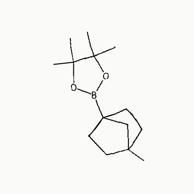 CC12CCC(B3OC(C)(C)C(C)(C)O3)(CC1)C2